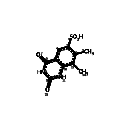 Cc1c(S(=O)(=O)O)cc2c(=O)[nH]c(=O)[nH]c2c1C